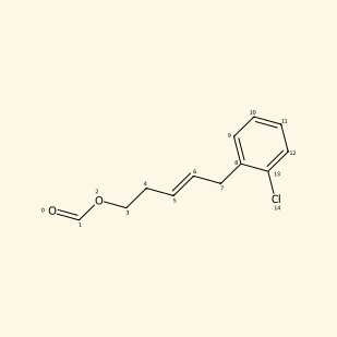 O=COCC/C=C/Cc1ccccc1Cl